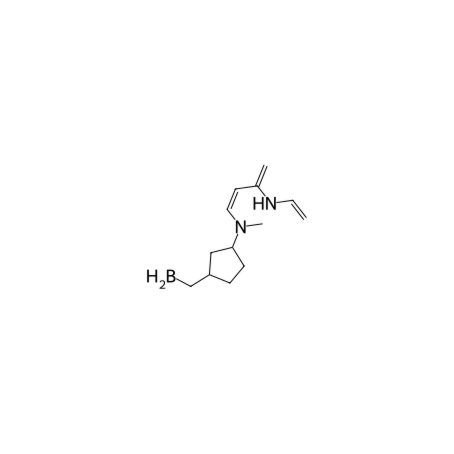 BCC1CCC(N(C)/C=C\C(=C)NC=C)C1